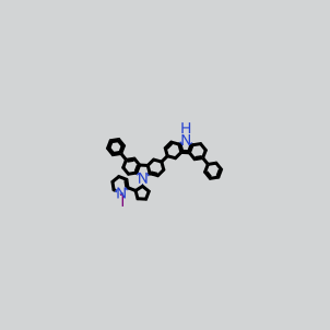 IN1CCCC=C1C1CCC[C@H]1N1C2=CCC(C3C=Cc4[nH]c5c(c4C3)C=C(C3C=CC=CC3)CC5)CC2C2=C1CCC(c1ccccc1)=C2